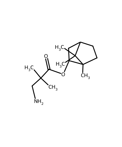 CC(C)(CN)C(=O)OC1CC2CCC1(C)C2(C)C